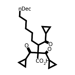 CCCCCCCCCCCCCCCC(C(=O)C1CC1)C(C(=O)O)(C(=O)C1CC1)C(=O)C1CC1